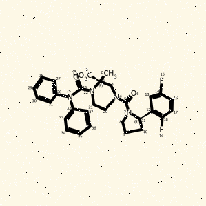 C[C@]1(C(=O)O)CN(C(=O)N2CCC[C@@H]2c2cc(F)ccc2F)CCN1C(=O)N(c1ccccc1)c1ccccc1